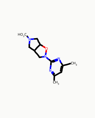 Cc1cc(C)nc(N2CC3CN(C(=O)O)CC3O2)n1